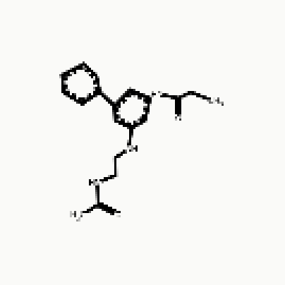 CCC(=O)Nc1cc(NCCNC(C)=O)cc(-c2ccccc2)c1